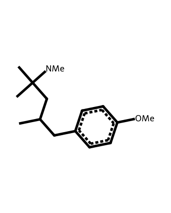 CNC(C)(C)CC(C)Cc1ccc(OC)cc1